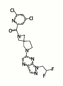 O=C(c1cc(Cl)cc(Cl)n1)N1CC2(CCN(c3cnc4cnn(CC(F)F)c4n3)C2)C1